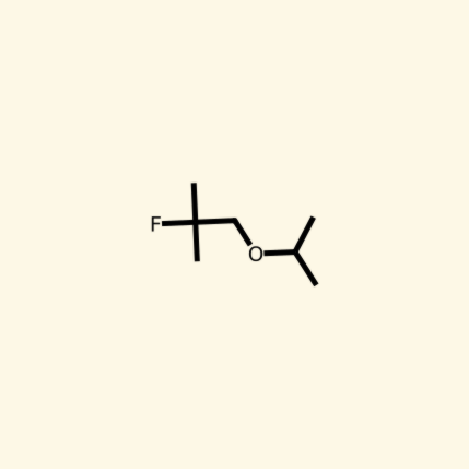 CC(C)OCC(C)(C)F